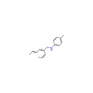 C\C=C/C(=C\C=C\C)CNc1ccc(C)cc1